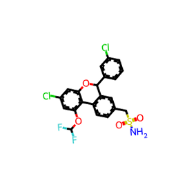 NS(=O)(=O)Cc1ccc2c(c1)C(c1cccc(Cl)c1)Oc1cc(Cl)cc(OC(F)F)c1-2